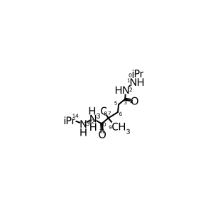 CC(C)NNC(=O)CCC(C)(C)C(=O)NNC(C)C